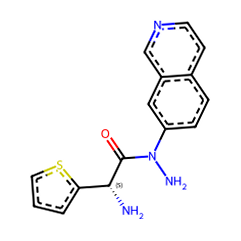 N[C@@H](C(=O)N(N)c1ccc2ccncc2c1)c1cccs1